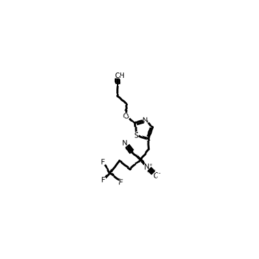 [C-]#[N+]C(C#N)(CCC(F)(F)F)Cc1cnc(OCCC#C)s1